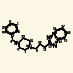 c1ccc(CN2CCN(CCCc3nc4ccccn4n3)CC2)cc1